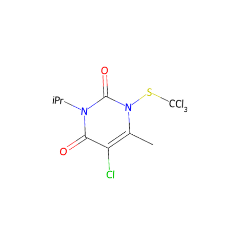 Cc1c(Cl)c(=O)n(C(C)C)c(=O)n1SC(Cl)(Cl)Cl